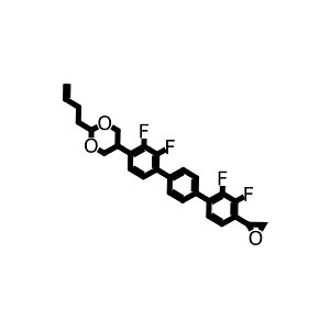 C=CCCC1OCC(c2ccc(-c3ccc(-c4ccc(C5CO5)c(F)c4F)cc3)c(F)c2F)CO1